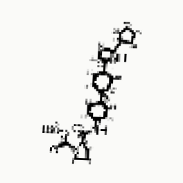 CC(C)(C)OC(=O)N1CCCC1C(=O)Nc1ccc(-c2ccc(-c3cnc(C4CCCC4)[nH]3)cc2)cc1